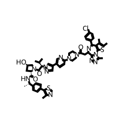 Cc1ncsc1-c1ccc([C@H](C)NC(=O)[C@@H]2C[C@@H](O)CN2C(=O)[C@@H](C(C)C)n2cc(-c3ccc(N4CCN(C(=O)CC5N=C(c6ccc(Cl)cc6)c6c(sc(C)c6C)-n6c(C)nnc65)CC4)nc3)cn2)cc1